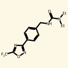 CCN(CC)C(=O)NCc1ccc(-c2noc(C(F)(F)F)n2)cc1